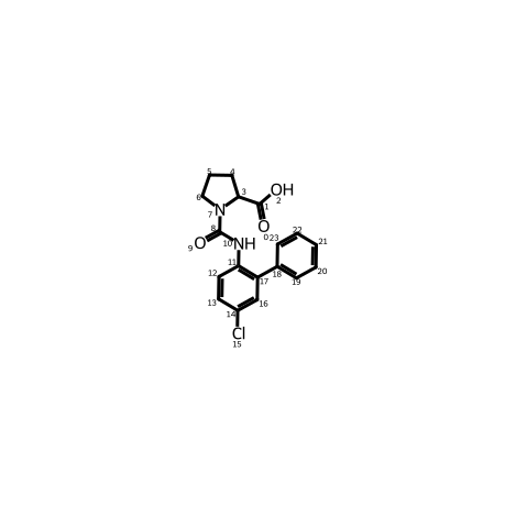 O=C(O)C1CCCN1C(=O)Nc1ccc(Cl)cc1-c1ccccc1